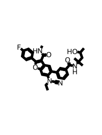 CCN(C#N)c1cc2oc(-c3ccc(F)cc3)c(C(=O)NC)c2cc1-c1cccc(C(=O)NC(C)(C)CC(C)O)c1